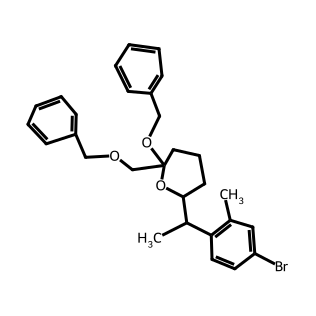 Cc1cc(Br)ccc1C(C)C1CCCC(COCc2ccccc2)(OCc2ccccc2)O1